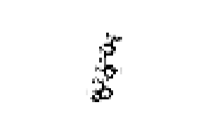 O=C(c1cccc2cc[nH]c12)N1C[C@H]2C[C@@H](Nc3ccc(C(F)(F)F)cn3)[C@@H]1C2